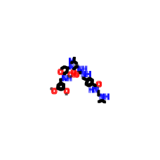 CCC(NC(=O)[C@H](CC(C)C)NC(=O)NCc1ccc(C(=O)NCCNC(C)C)cc1)C(O)C(=O)NCc1cc(OC)cc(OC)c1